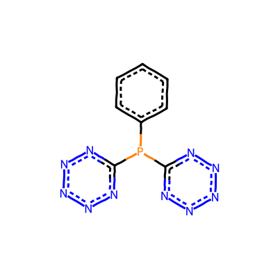 c1ccc(P(c2nnnnn2)c2nnnnn2)cc1